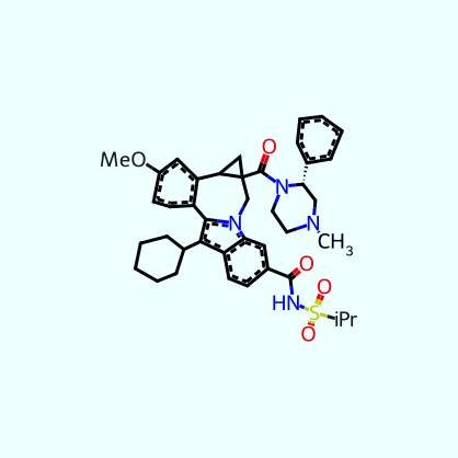 COc1ccc2c(c1)C1CC1(C(=O)N1CCN(C)C[C@H]1c1ccccc1)Cn1c-2c(C2CCCCC2)c2ccc(C(=O)NS(=O)(=O)C(C)C)cc21